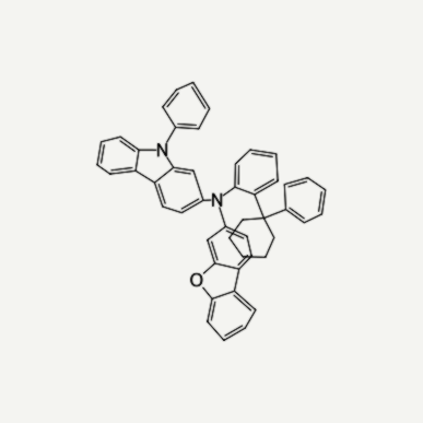 c1ccc(-n2c3ccccc3c3ccc(N(c4ccc5c(c4)oc4ccccc45)c4ccccc4C4(c5ccccc5)CCCCC4)cc32)cc1